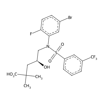 CC(C)(C[C@H](O)CN(c1cc(Br)ccc1F)S(=O)(=O)c1cccc(C(F)(F)F)c1)C(=O)O